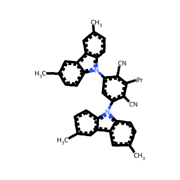 Cc1ccc2c(c1)c1cc(C)ccc1n2-c1cc(-n2c3ccc(C)cc3c3cc(C)ccc32)c(C#N)c(C(C)C)c1C#N